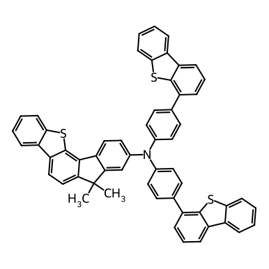 CC1(C)c2cc(N(c3ccc(-c4cccc5c4sc4ccccc45)cc3)c3ccc(-c4cccc5c4sc4ccccc45)cc3)ccc2-c2c1ccc1c2sc2ccccc21